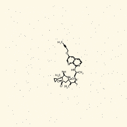 C=C(/C(F)=N\C=C(/C)Nc1nccc2cc(OCC#CC)cnc12)[C@]1(C)CS(=O)(=O)[C@@](C)(C2CC2)C(=N)N1